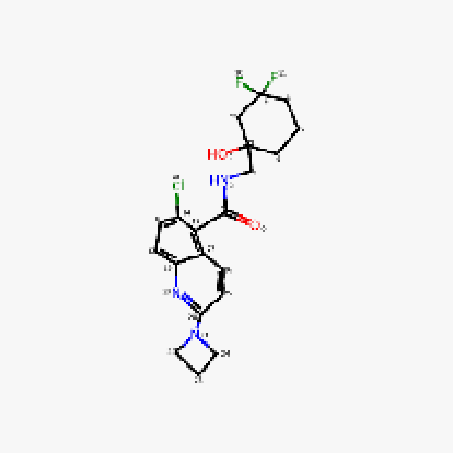 O=C(NCC1(O)CCCC(F)(F)C1)c1c(Cl)ccc2nc(N3CCC3)ccc12